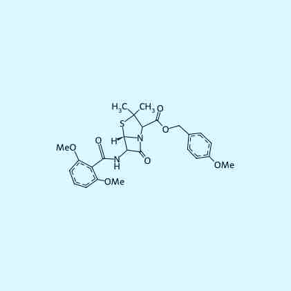 COc1ccc(COC(=O)C2N3C(=O)C(NC(=O)c4c(OC)cccc4OC)[C@@H]3SC2(C)C)cc1